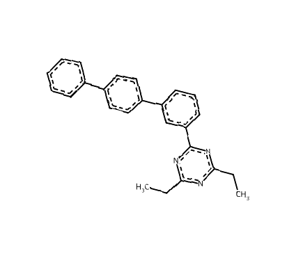 CCc1nc(CC)nc(-c2cccc(-c3ccc(-c4ccccc4)cc3)c2)n1